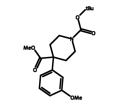 COC(=O)C1(c2cccc(OC)c2)CCN(C(=O)OC(C)(C)C)CC1